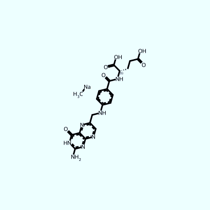 Nc1nc2ncc(CNc3ccc(C(=O)N[C@@H](CCC(=O)O)C(=O)O)cc3)nc2c(=O)[nH]1.[CH3][Na]